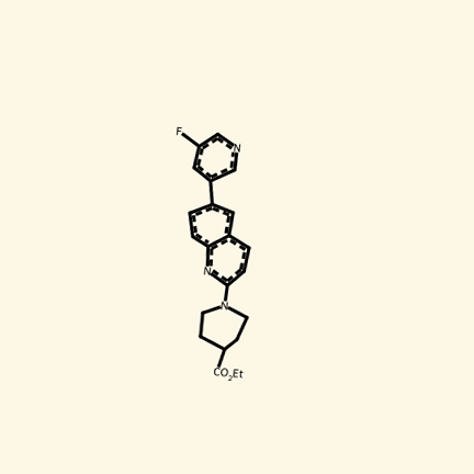 CCOC(=O)C1CCN(c2ccc3cc(-c4cncc(F)c4)ccc3n2)CC1